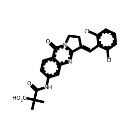 CC(C)(C(=O)O)C(=O)Nc1ccc2c(=O)n3c(nc2c1)C(=Cc1c(Cl)cccc1Cl)CC3